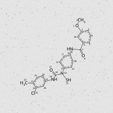 COc1cccc(C(=O)Nc2ccc(N(S)C(=O)Nc3ccc(C)c(Cl)c3)cc2)c1